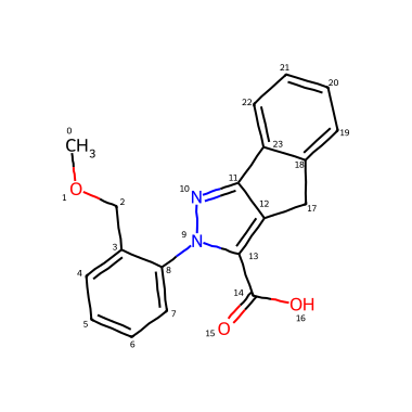 COCc1ccccc1-n1nc2c(c1C(=O)O)Cc1ccccc1-2